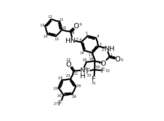 O=C1Nc2ccc(NC(=O)c3ccccc3)cc2C(CNC(=O)c2ccc(F)cc2)(C(F)(F)F)O1